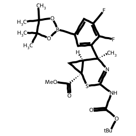 COC(=O)[C@]12C[C@H]1[C@@](C)(c1cc(B3OC(C)(C)C(C)(C)O3)cc(F)c1F)N=C(NC(=O)OC(C)(C)C)S2